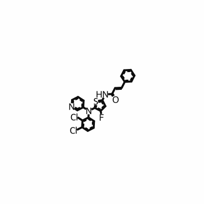 O=C(C=Cc1ccccc1)Nc1cc(F)c(N(c2cccnc2)c2cccc(Cl)c2Cl)s1